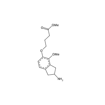 COC(=O)CCCOc1ccc2c(c1OC)CC(N)C2